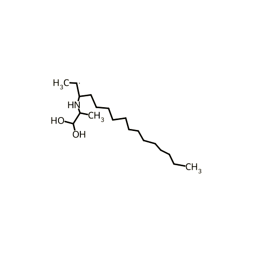 C[CH]C(CCCCCCCCCCCCC)NC(C)C(O)O